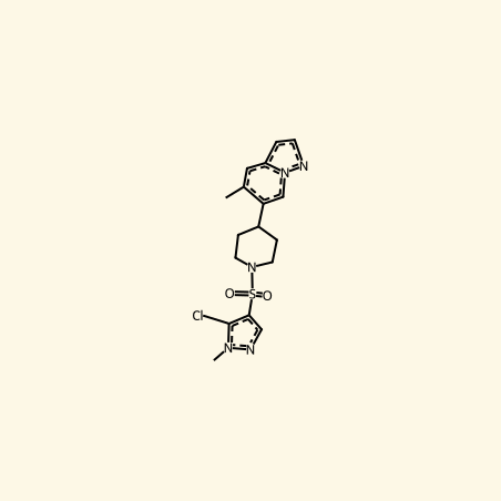 Cc1cc2ccnn2cc1C1CCN(S(=O)(=O)c2cnn(C)c2Cl)CC1